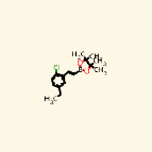 CCc1ccc(Cl)c(C=CB2OC(C)(C)C(C)(C)O2)c1